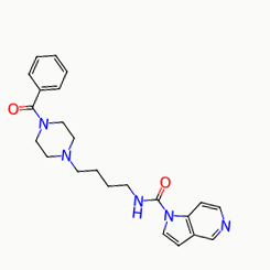 O=C(c1ccccc1)N1CCN(CCCCNC(=O)n2ccc3cnccc32)CC1